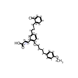 COc1ccc(CCCCOc2ccc(CSCc3ccccc3Cl)nc2/C=C/C(=O)O)cc1